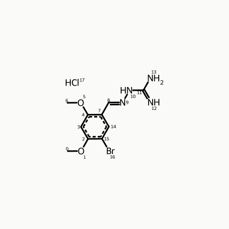 COc1cc(OC)c(/C=N/NC(=N)N)cc1Br.Cl